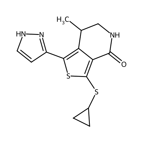 CC1CNC(=O)c2c(SC3CC3)sc(-c3cc[nH]n3)c21